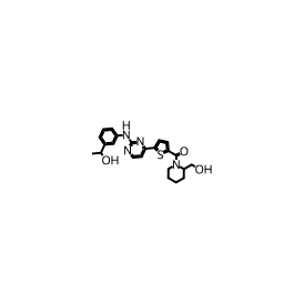 CC(O)c1cccc(Nc2nccc(-c3ccc(C(=O)N4CCCCC4CO)s3)n2)c1